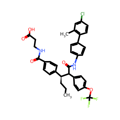 CCC[C@@H](c1ccc(C(=O)NCCC(=O)O)cc1)C(C(=O)Nc1ccc(-c2ccc(Cl)cc2C)cc1)c1ccc(OC(F)(F)F)cc1